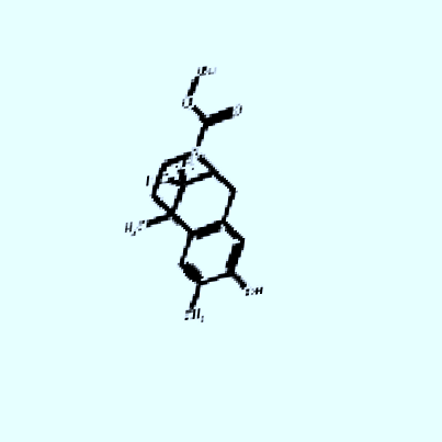 Cc1cc2c(cc1O)CC1N(C(=O)OC(C)(C)C)CCC2(C)C1(C)C